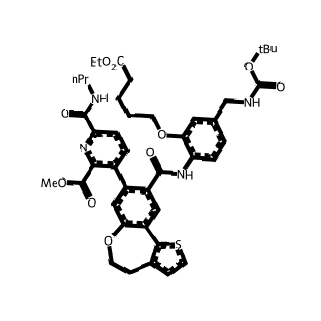 CCCNC(=O)c1ccc(-c2cc3c(cc2C(=O)Nc2ccc(CNC(=O)OC(C)(C)C)cc2OCCCCC(=O)OCC)-c2sccc2CCO3)c(C(=O)OC)n1